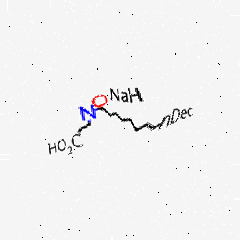 CCCCCCCCCCCCCCCCCC(=O)N(C)CCC(=O)O.[NaH]